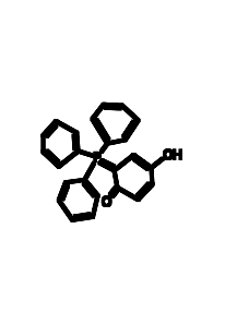 O=C1C=CC(O)=CC1=P(c1ccccc1)(c1ccccc1)c1ccccc1